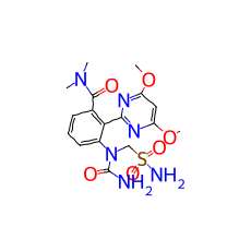 COc1cc(OC)nc(-c2c(C(=O)N(C)C)cccc2N(CS(N)(=O)=O)C(N)=O)n1